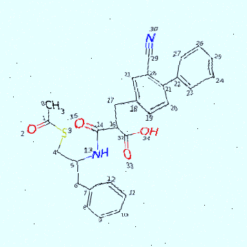 CC(=O)SCC(Cc1ccccc1)NC(=O)C(Cc1ccc(-c2ccccc2)c(C#N)c1)C(=O)O